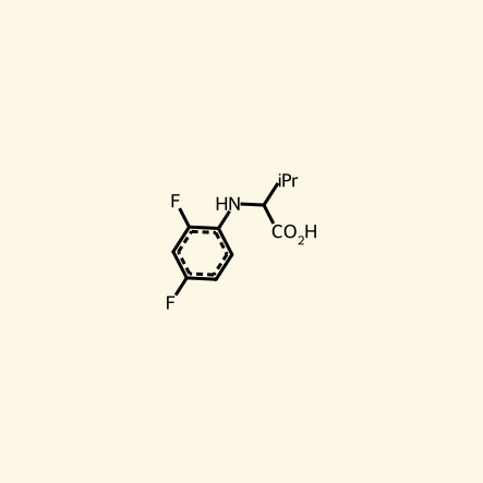 CC(C)C(Nc1ccc(F)cc1F)C(=O)O